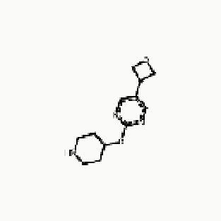 c1nc(OC2CCNCC2)ncc1C1COC1